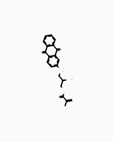 C=C(C)C(=O)OCC(O)CNc1ccc2c(c1)C(=O)c1ccccc1C2=O